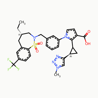 CC[C@H]1Cc2cc(C(F)(F)F)ccc2S(=O)(=O)N(Cc2cccc(-n3ccc(C(=O)O)c3C3C[C@H]3c3cn(C)nn3)c2)C1